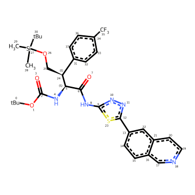 CC(C)(C)OC(=O)N[C@H](C(=O)Nc1nnc(-c2ccc3cnccc3c2)s1)[C@@H](CO[Si](C)(C)C(C)(C)C)c1ccc(C(F)(F)F)cc1